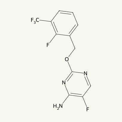 Nc1nc(OCc2cccc(C(F)(F)F)c2F)ncc1F